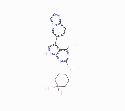 COc1nc(N[C@H]2CC[C@@](C)(O)CC2)nc2[nH]cc(-c3ccc4nccn4c3)c12